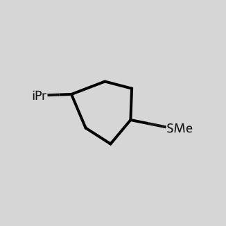 CSC1CCC(C(C)C)CC1